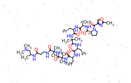 CCCCCCCCC(NC(=O)[C@@H]1CCCN1C(=O)c1coc(C)n1)C(=O)NC(CC(C)C)C(=O)NC(C)(C)C(=O)NC(CC(C)C)C(=O)NC(CC(C)C)C(=O)NC(C)(C)C(=O)NC(C)(C)C(=O)NCCC(=O)NC(C)CN(C)C